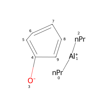 CC[CH2][Al+][CH2]CC.[O-]c1ccccc1